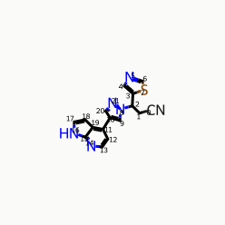 N#CCC(c1cncs1)n1cc(-c2ccnc3[nH]ccc23)cn1